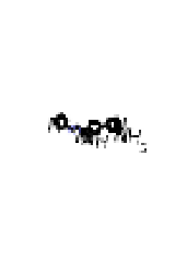 Nc1cc(-c2ccc3c(/C=C/c4cccnc4)n[nH]c3c2)ccn1